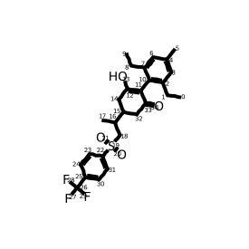 CCc1cc(C)cc(CC)c1C1=C(O)CC(C(C)CS(=O)(=O)c2ccc(C(F)(F)F)cc2)CC1=O